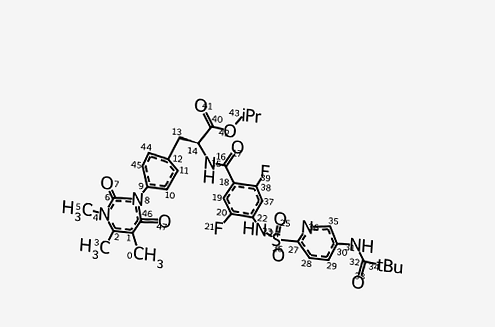 Cc1c(C)n(C)c(=O)n(-c2ccc(C[C@H](NC(=O)c3cc(F)c(NS(=O)(=O)c4ccc(NC(=O)C(C)(C)C)cn4)cc3F)C(=O)OC(C)C)cc2)c1=O